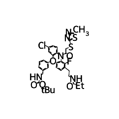 CCC(=O)NCCc1cccc(N(C(=O)CSc2nnc(C)s2)c2ccc(Cl)cc2Oc2cccc(CNC(=O)OC(C)(C)C)c2)c1F